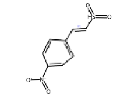 O=[N+]([O-])c1ccc(/C=C/[SH](=O)=O)cc1